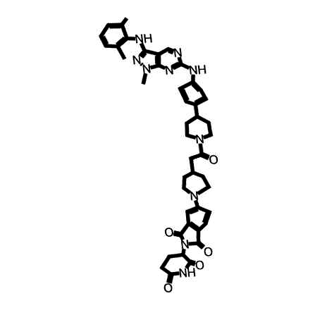 Cc1cccc(C)c1Nc1nn(C)c2nc(Nc3ccc(C4CCN(C(=O)CC5CCN(c6ccc7c(c6)C(=O)N(C6CCC(=O)NC6=O)C7=O)CC5)CC4)cc3)ncc12